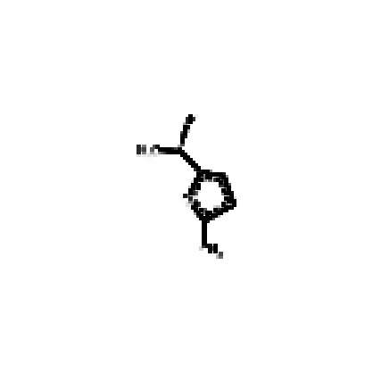 Cc1ccc([C@@H](C)C(C)C)o1